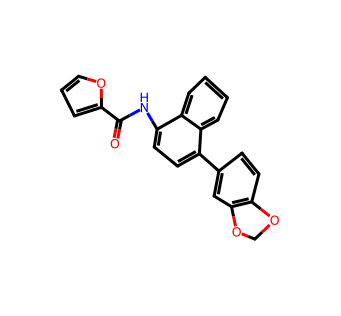 O=C(Nc1ccc(-c2ccc3c(c2)OCO3)c2ccccc12)c1ccco1